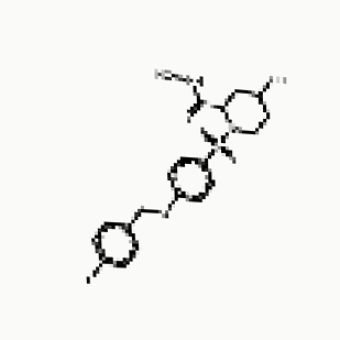 O=C(NO)C1CC(O)CCN1S(=O)(=O)c1ccc(OCc2ccc(F)cc2)cc1